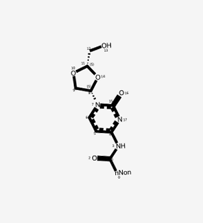 CCCCCCCCCC(=O)Nc1ccn([C@@H]2CO[C@H](CO)O2)c(=O)n1